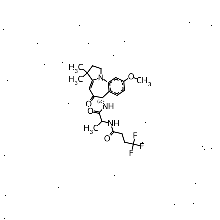 COc1ccc2c(c1)N1CCC(C)(C)C1=CC(=O)[C@H]2NC(=O)C(C)NC(=O)CCC(F)(F)F